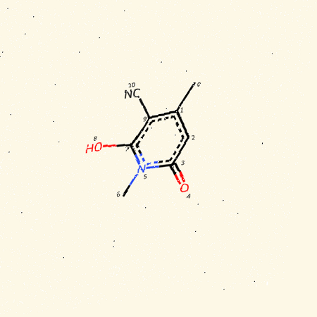 Cc1cc(=O)n(C)c(O)c1C#N